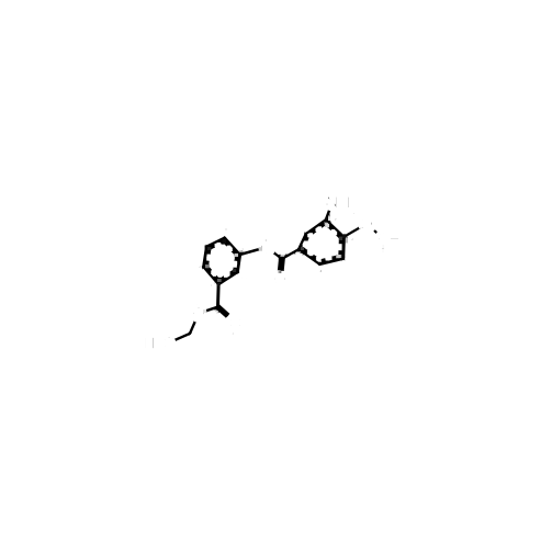 CCOC(=O)c1cccc(OC(=O)c2ccc(OC)c(N)c2)c1